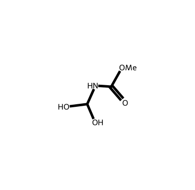 COC(=O)NC(O)O